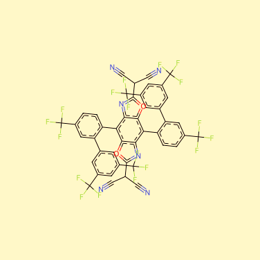 N#CC(C#N)c1nc2c(-c3ccc(C(F)(F)F)cc3-c3cc(C(F)(F)F)cc(C(F)(F)F)c3)c3oc(C(C#N)C#N)nc3c(-c3ccc(C(F)(F)F)cc3-c3cc(C(F)(F)F)cc(C(F)(F)F)c3)c2o1